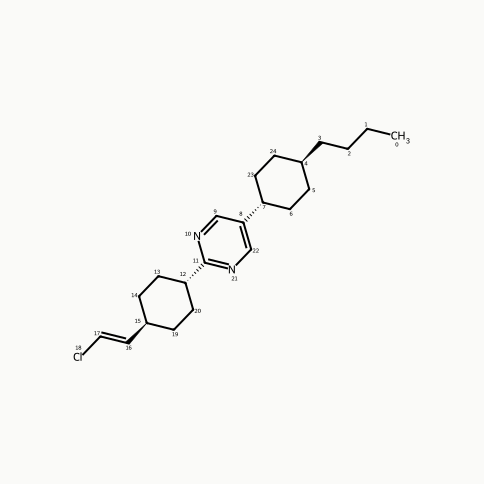 CCCC[C@H]1CC[C@H](c2cnc([C@H]3CC[C@H](/C=C/Cl)CC3)nc2)CC1